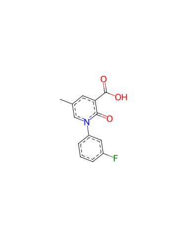 Cc1cc(C(=O)O)c(=O)n(-c2cccc(F)c2)c1